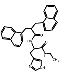 CCNC(=O)C(Cc1c[nH]cn1)NC(=O)C(Cc1cccc2ccccc12)Cc1cccc2ccccc12